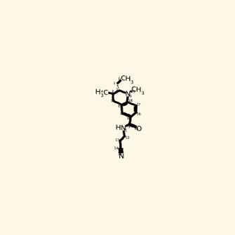 CC[C@H]1C(C)Cc2cc(C(=O)NCCC#N)ccc2N1C